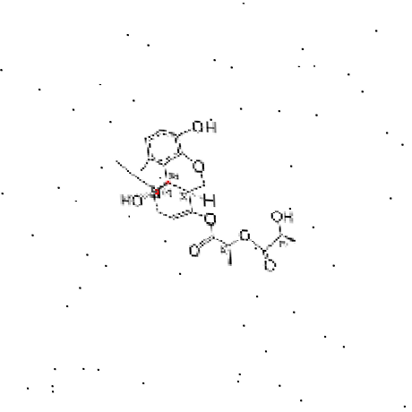 Cc1ccc(O)c2c1[C@]13CCN(C)[C@H](C)[C@]1(O)CC=C(OC(=O)[C@H](C)OC(=O)[C@H](C)O)[C@@H]3CO2